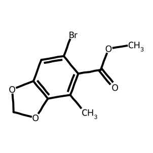 COC(=O)c1c(Br)cc2c(c1C)OCO2